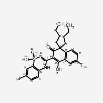 CCCCC1(CCCC)C(=O)C(C2=NS(O)(O)c3cc(I)ccc3N2)=C(O)c2cc(F)ccc21